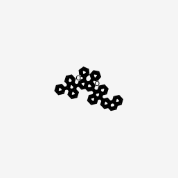 c1ccc(-c2c3ccccc3c(-c3cc4cc(-c5c6ccccc6c(-c6ccc7ccc8ccccc8c7c6)c6ccccc56)c5oc6ccccc6c5c4c4c3oc3ccccc34)c3ccccc23)cc1